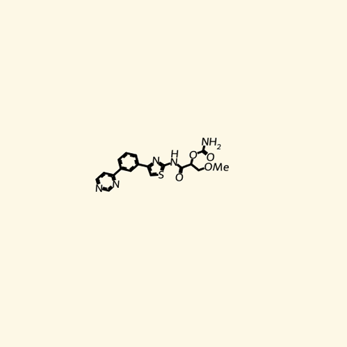 COCC(OC(N)=O)C(=O)Nc1nc(-c2cccc(-c3ccncn3)c2)cs1